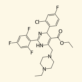 CCOC(=O)C1=C(CN2CCN(CC)CC2)NC(c2c(F)cc(F)cc2F)=NC1c1ccc(F)cc1Cl